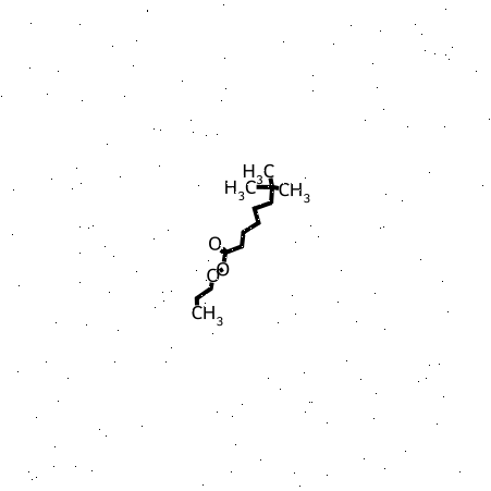 CCCOOC(=O)CCCCCC(C)(C)C